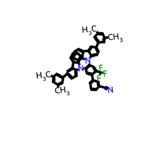 Cc1cc(C)cc(-c2ccc3c(c2)c2ccccc2n3-c2cc(-c3cccc(C#N)c3)c(C(F)(F)F)cc2-n2c3ccccc3c3cc(-c4cc(C)cc(C)c4)ccc32)c1